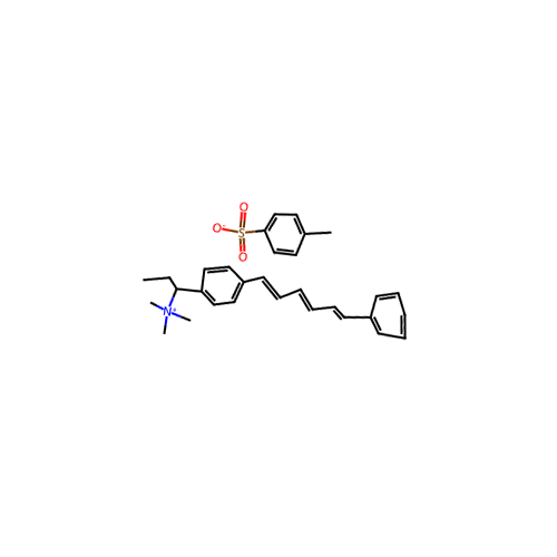 CCC(c1ccc(C=CC=CC=Cc2ccccc2)cc1)[N+](C)(C)C.Cc1ccc(S(=O)(=O)[O-])cc1